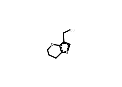 CC(C)(C)Cc1csc2c1OCCC2